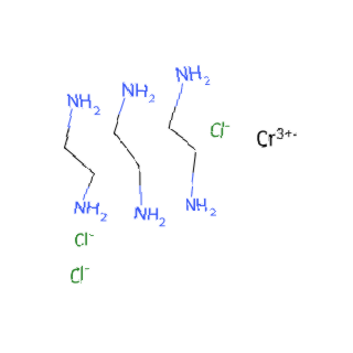 NCCN.NCCN.NCCN.[Cl-].[Cl-].[Cl-].[Cr+3]